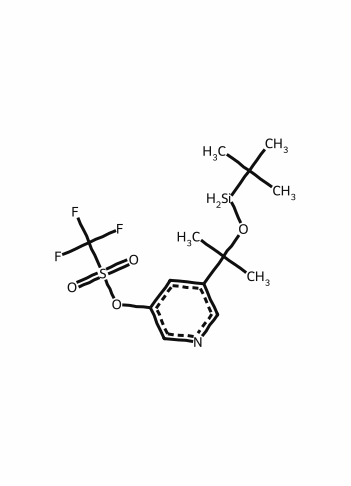 CC(C)(C)[SiH2]OC(C)(C)c1cncc(OS(=O)(=O)C(F)(F)F)c1